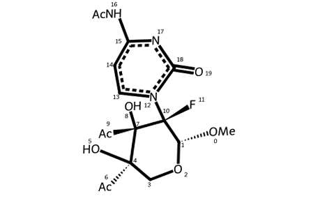 CO[C@@H]1OC[C@](O)(C(C)=O)[C@@](O)(C(C)=O)[C@]1(F)n1ccc(NC(C)=O)nc1=O